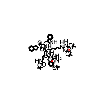 CC(C)(C)OC(=O)N=C(NCCCCCC[C@@](CCCCNC(=O)OC(C)(C)C)(NC(=O)[C@H](Cc1ccc(OC(C)(C)C)cc1)NC(=O)CN)C(=O)N[C@@H](Cc1c[nH]c2ccccc12)C(=O)NC1Cc2ccccc2C1)NC(=O)OC(C)(C)C